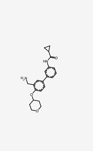 NCc1cc(-c2cccc(NC(=O)C3CC3)c2)ccc1OC1CCOCC1